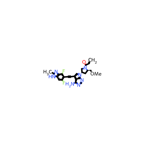 C=CC(=O)N1C[C@@H](n2cc(C#Cc3c(F)cc4[nH]c(C)nc4c3F)c3c(N)ncnc32)C[C@@H]1COC